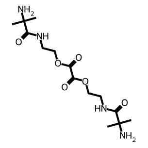 CC(C)(N)C(=O)NCCOC(=O)C(=O)OCCNC(=O)C(C)(C)N